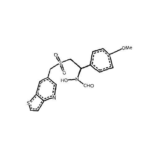 COc1ccc(C(CS(=O)(=O)Cc2cnc3ccsc3c2)N(O)C=O)cc1